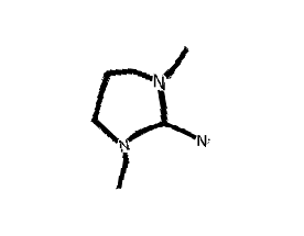 CN1CCN(C)C1[N]